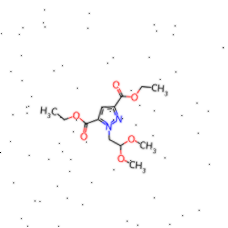 CCOC(=O)c1cc(C(=O)OCC)n(CC(OC)OC)n1